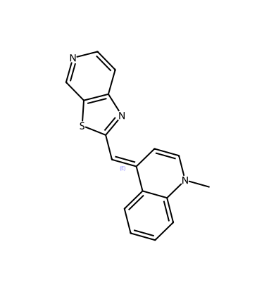 CN1C=C/C(=C\c2nc3ccncc3s2)c2ccccc21